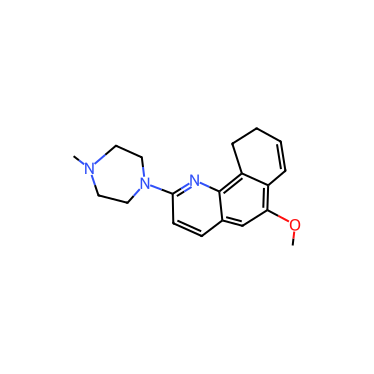 COc1cc2ccc(N3CCN(C)CC3)nc2c2c1C=CCC2